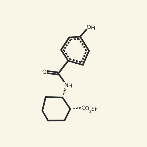 CCOC(=O)[C@@H]1CCCC[C@@H]1NC(=O)c1ccc(O)cc1